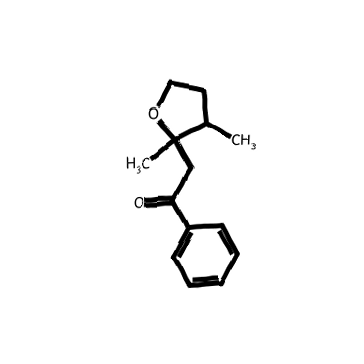 CC1CCOC1(C)CC(=O)c1ccccc1